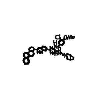 COc1ccc(CNc2nc(-c3ccc4cc(C5CC=CC6=C5CCc5c6ccc6ccccc56)nnc4c3)ncc2C(=O)NCCN2CCOCC2)cc1Cl